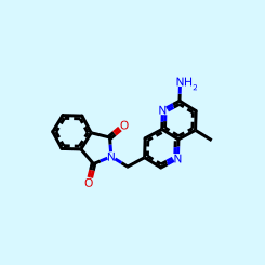 Cc1cc(N)nc2cc(CN3C(=O)c4ccccc4C3=O)cnc12